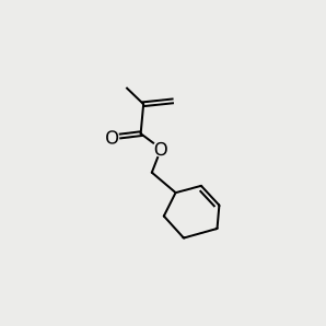 C=C(C)C(=O)OCC1C=CCCC1